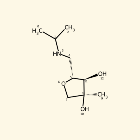 CC(C)NC[C@H]1OC[C@](C)(O)[C@@H]1O